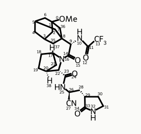 COC12CC3CC(C1)CC([C@H](NC(=O)C(F)(F)F)C(=O)N1[C@@H]4CC[C@@H](C4)[C@H]1C(=O)N[C@H](C#N)C[C@@H]1CCNC1=O)(C3)C2